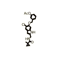 CC(=O)Oc1cccc(COc2cc3[nH]c(CNC(=O)C4(C)CC4)cc3cc2Cl)c1